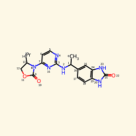 CC(Nc1nccc(N2C(=O)OCC2C(C)C)n1)c1ccc2[nH]c(=O)[nH]c2c1